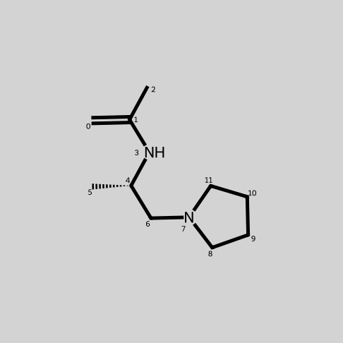 C=C(C)N[C@@H](C)CN1CCCC1